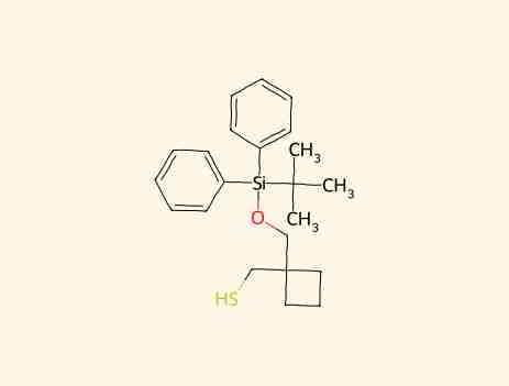 CC(C)(C)[Si](OCC1(CS)CCC1)(c1ccccc1)c1ccccc1